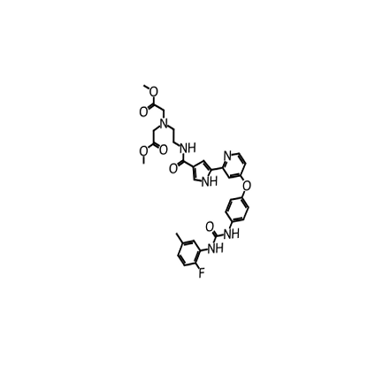 COC(=O)CN(CCNC(=O)c1c[nH]c(-c2cc(Oc3ccc(NC(=O)Nc4cc(C)ccc4F)cc3)ccn2)c1)CC(=O)OC